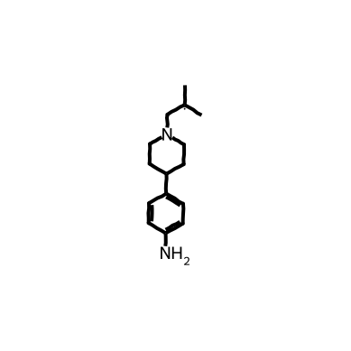 C[C](C)CN1CCC(c2ccc(N)cc2)CC1